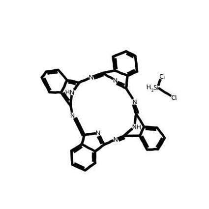 Cl[SiH2]Cl.c1ccc2c(c1)-c1nc-2nc2[nH]c(nc3nc(nc4[nH]c(n1)c1ccccc41)-c1ccccc1-3)c1ccccc21